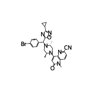 C[C@@H]1CN(c2cc(=O)n(C)c3ccc(C#N)nc23)[C@@H](C)CN1C(c1ccc(Br)cc1)c1nc(C2CC2)no1